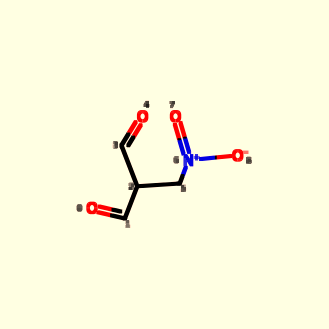 O=CC(C=O)C[N+](=O)[O-]